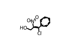 O=[N+]([O-])C(CO)=C(Cl)c1ccccc1